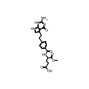 COC(=O)C(CCC(=O)O)NC(=O)c1ccc(CCc2c[nH]c3[nH]c(N)nc(=O)c23)cc1